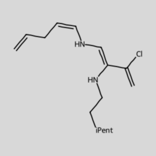 C=CC/C=C\NC=C(NCCC(C)CCC)C(=C)Cl